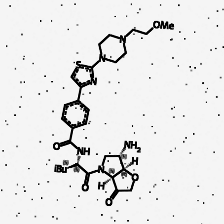 CC[C@H](C)[C@H](NC(=O)c1ccc(-c2csc(N3CCN(CCOC)CC3)n2)cc1)C(=O)N1C[C@H](N)[C@H]2OCC(=O)[C@H]21